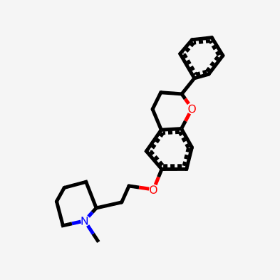 CN1CCCCC1CCOc1ccc2c(c1)CCC(c1ccccc1)O2